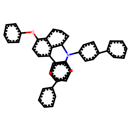 c1ccc(Oc2ccc(-c3ccccc3)c3c(N(c4ccc(-c5ccccc5)cc4)c4ccc(-c5ccccc5)cc4)cccc23)cc1